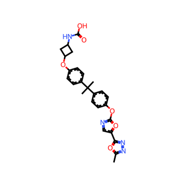 Cc1nnc(-c2cnc(Oc3ccc(C(C)(C)c4ccc(OC5CC(NC(=O)O)C5)cc4)cc3)o2)o1